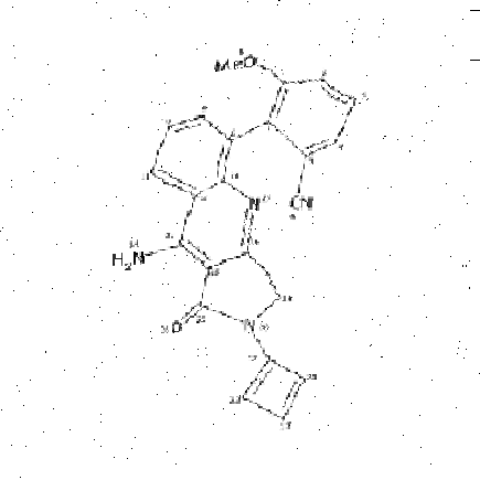 COc1cccc(C#N)c1-c1cccc2c(N)c3c(nc12)CN(C1=CC=C1)C3=O